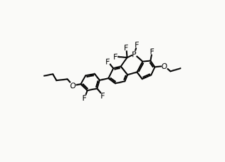 CCCCOc1ccc(-c2ccc3c(c2F)C(F)(F)P(F)c2c-3ccc(OCC)c2F)c(F)c1F